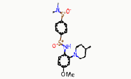 COc1ccc(N[S+]([O-])c2ccc([S+]([O-])N(C)C)cc2)c(N2CCC(C)CC2)c1